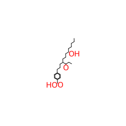 CCCCCC(O)CCCC(CCCc1ccc(C(=O)O)cc1)C(=O)CC